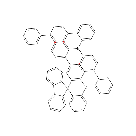 c1ccc(-c2ccc(-c3ccccc3N(c3ccc(-c4ccccc4)cc3)c3ccccc3-c3ccc4c(c3)C3(c5ccccc5O4)c4ccccc4-c4ccccc43)cc2)cc1